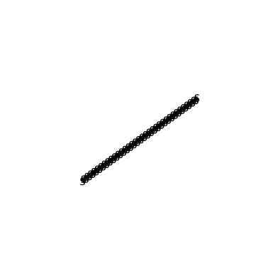 S=S=S=S=S=S=S=S=S=S=S=S=S=S=S=S=S=S=S=S=S=S=S=S=S=S=S=S=S=S=S=S=S=S=S=S=S=S=S=S=S=S=S=S=S=S=S=S=S=S=S=S=S=S=S=S=S=S=S=S=S=S=S=S=S=S=S=S